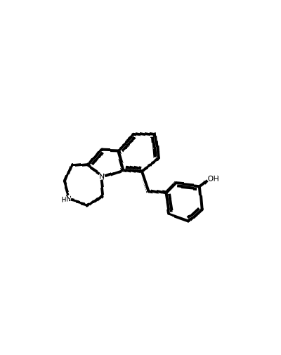 Oc1cccc(Cc2cccc3cc4n(c23)CCNCC4)c1